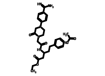 CC(=O)O.CCOC(=O)CC(CCc1ccccc1)NC(=O)CN1CCN(c2ccc(C(=N)N)cc2)CC1=O